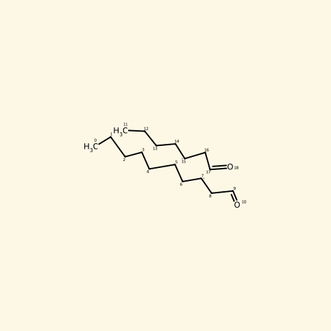 CCCCCCC[CH]CC=O.CCCC[CH]CC=O